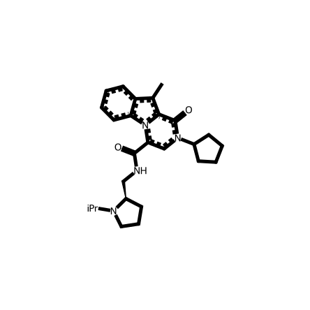 Cc1c2ccccc2n2c(C(=O)NC[C@H]3CCCN3C(C)C)cn(C3CCCC3)c(=O)c12